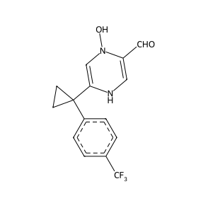 O=CC1=CNC(C2(c3ccc(C(F)(F)F)cc3)CC2)=CN1O